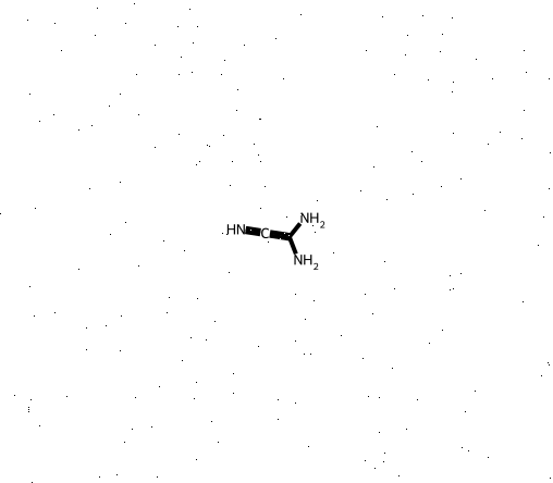 N=C=C(N)N